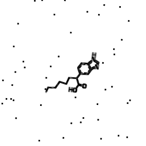 CCCCCCC(C(=O)O)c1ccc2[nH]cnc2c1